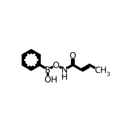 CC=CC(=O)NOB(O)c1ccccc1